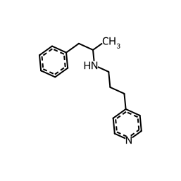 CC(Cc1ccccc1)NCCCc1ccncc1